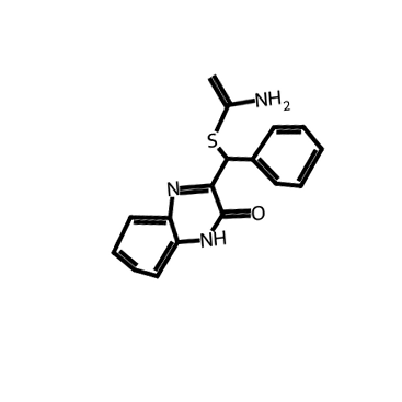 C=C(N)SC(c1ccccc1)c1nc2ccccc2[nH]c1=O